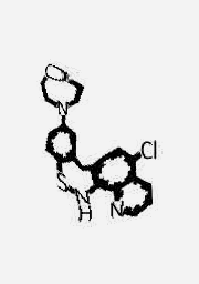 Clc1cc2c(c3ncccc13)NSc1ccc(N3CCOCC3)cc1-2